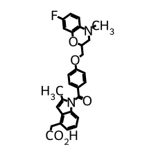 Cc1cc2c(CC(=O)O)cccc2n1C(=O)c1ccc(OCC2CN(C)c3ccc(F)cc3O2)cc1